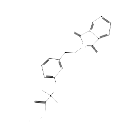 CC(C)(C)OC(=O)C(C)(C)Oc1cccc(CCN2C(=O)c3ccccc3C2=O)c1